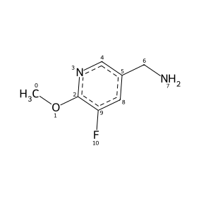 COc1ncc(CN)cc1F